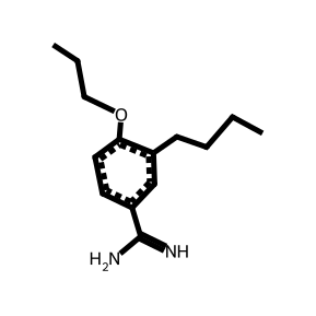 CCCCc1cc(C(=N)N)ccc1OCCC